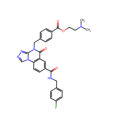 CN(C)CCOC(=O)c1ccc(Cn2c(=O)c3cc(C(=O)NCc4ccc(F)cc4)ccc3n3cnnc23)cc1